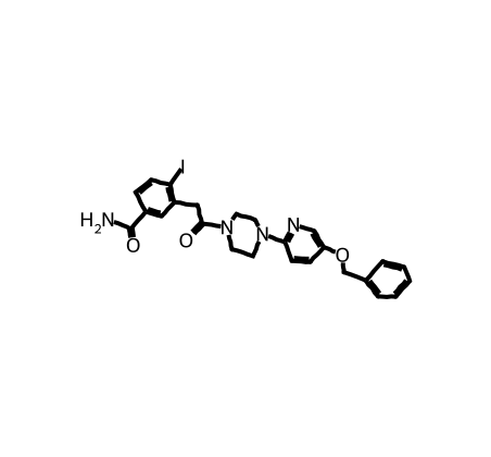 NC(=O)c1ccc(I)c(CC(=O)N2CCN(c3ccc(OCc4ccccc4)cn3)CC2)c1